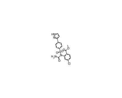 COC(=O)c1ccc(Cl)cc1N(C(N)=O)S(=O)(=O)c1ccc(-c2cc[nH]n2)cc1